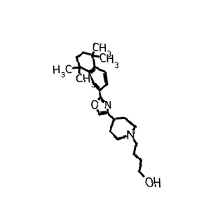 CC1(C)CCC(C)(C)c2cc(-c3nc(C4CCN(CCCCO)CC4)co3)ccc21